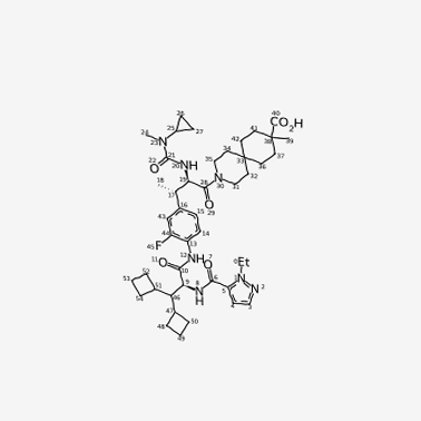 CCn1nccc1C(=O)N[C@H](C(=O)Nc1ccc([C@H](C)[C@@H](NC(=O)N(C)C2CC2)C(=O)N2CCC3(CC2)CCC(C)(C(=O)O)CC3)cc1F)C(C1CCC1)C1CCC1